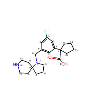 O=C(O)C1(c2cc(F)cc(CN3CCCC34CCNCC4)c2)CCCC1